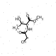 COC(=O)[C@@H](NC(=O)CCl)[C@@H](C)O